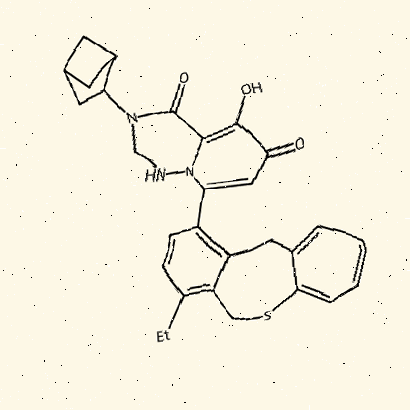 CCc1ccc(-c2cc(=O)c(O)c3n2NCN(C2CC4CC2C4)C3=O)c2c1CSc1ccccc1C2